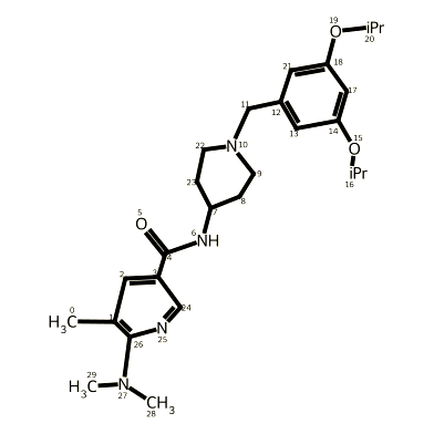 Cc1cc(C(=O)NC2CCN(Cc3cc(OC(C)C)cc(OC(C)C)c3)CC2)cnc1N(C)C